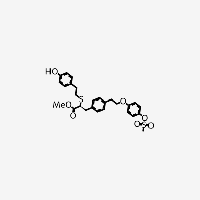 COC(=O)[C@H](Cc1ccc(CCOc2ccc(OS(C)(=O)=O)cc2)cc1)SCCc1ccc(O)cc1